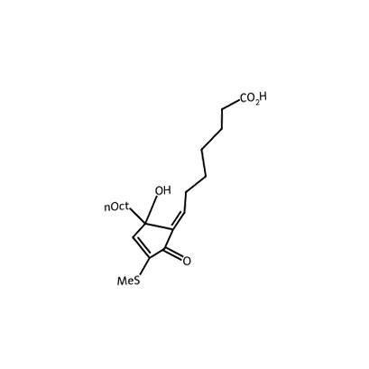 CCCCCCCCC1(O)C=C(SC)C(=O)C1=CCCCCCC(=O)O